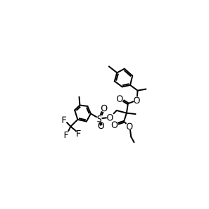 CCOC(=O)C(C)(COS(=O)(=O)c1cc(C)cc(C(F)(F)F)c1)C(=O)OC(C)c1ccc(C)cc1